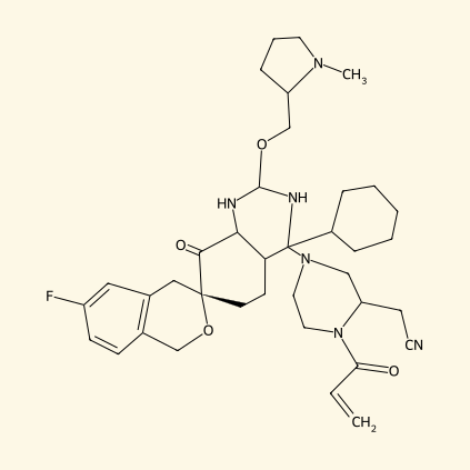 C=CC(=O)N1CCN(C2(C3CCCCC3)NC(OCC3CCCN3C)NC3C(=O)[C@@]4(CCC32)Cc2cc(F)ccc2CO4)CC1CC#N